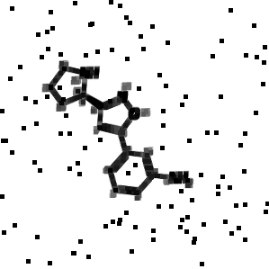 Nc1cccc(-c2cc([C@H]3CCCN3)no2)c1